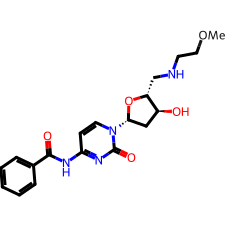 COCCNC[C@H]1O[C@@H](n2ccc(NC(=O)c3ccccc3)nc2=O)C[C@@H]1O